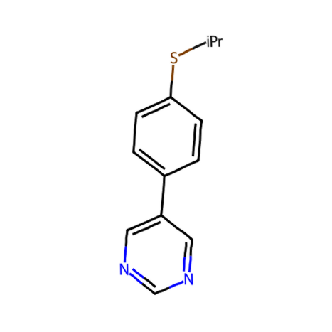 CC(C)Sc1ccc(-c2cncnc2)cc1